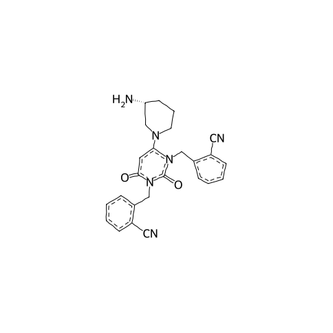 N#Cc1ccccc1Cn1c(N2CCC[C@@H](N)C2)cc(=O)n(Cc2ccccc2C#N)c1=O